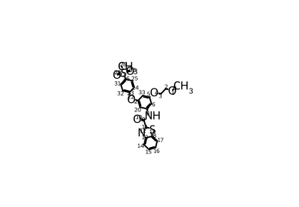 COCCOc1cc(NC(=O)c2nc3ccccc3s2)cc(Oc2ccc(S(C)(=O)=O)cc2)c1